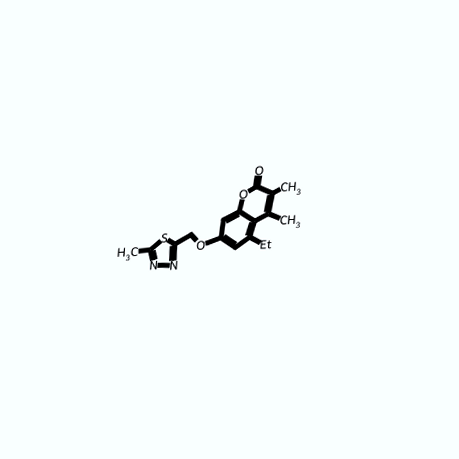 CCc1cc(OCc2nnc(C)s2)cc2oc(=O)c(C)c(C)c12